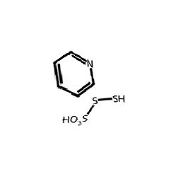 O=S(=O)(O)SS.c1ccncc1